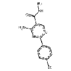 CCc1ccc(-c2ncc(C(=O)NC(C)CC)c(N)n2)cc1